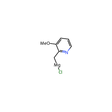 COc1cccnc1[CH2][Mg][Cl]